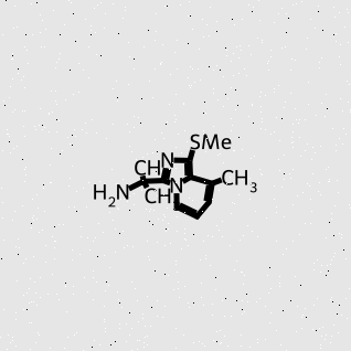 CSc1nc(C(C)(C)N)n2cccc(C)c12